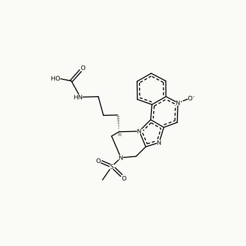 CS(=O)(=O)N1Cc2nc3c[n+]([O-])c4ccccc4c3n2[C@@H](CCCNC(=O)O)C1